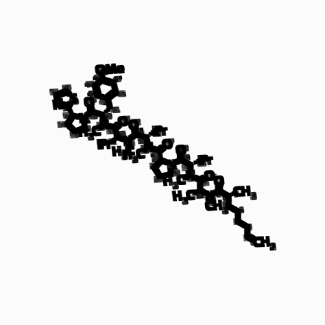 C=CCCCC[C@@H](C)C(=O)N(C)[C@@H](C)C(=O)N(C)[C@H](C(=O)N1CCC[C@H]1C(=O)N(C)[C@H](C(=O)N(C)[C@H](C(=O)N(C)[C@@H](Cc1ccc(OC)cc1)C(=O)N1CCC[C@H]1c1nccs1)C(C)C)C(C)C)C(C)C